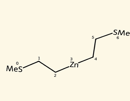 CSC[CH2][Zn][CH2]CSC